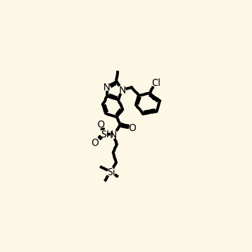 Cc1nc2ccc(C(=O)N(CCC[Si](C)(C)C)[SH](=O)=O)cc2n1Cc1ccccc1Cl